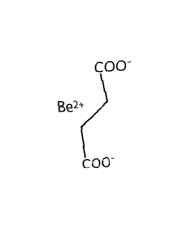 O=C([O-])CCC(=O)[O-].[Be+2]